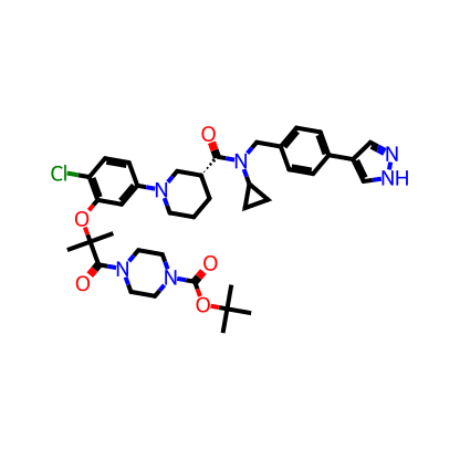 CC(C)(C)OC(=O)N1CCN(C(=O)C(C)(C)Oc2cc(N3CCC[C@@H](C(=O)N(Cc4ccc(-c5cn[nH]c5)cc4)C4CC4)C3)ccc2Cl)CC1